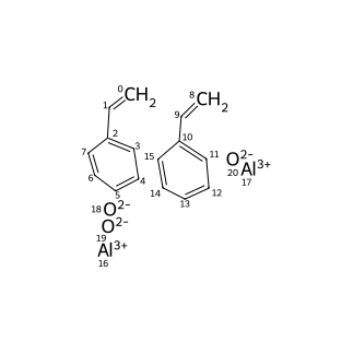 C=Cc1ccccc1.C=Cc1ccccc1.[Al+3].[Al+3].[O-2].[O-2].[O-2]